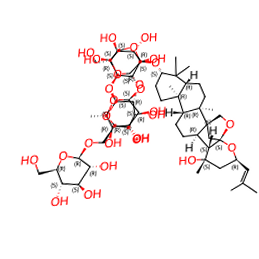 CC(C)=C[C@H]1C[C@](C)(O)[C@@H]2[C@H]3CC[C@@H]4[C@@]5(C)CC[C@H](O[C@@H]6OC[C@H](O)[C@H](O[C@@H]7O[C@H](CO[C@@H]8O[C@H](CO)[C@@H](O)[C@H](O)[C@H]8O)[C@@H](O)[C@H](O)[C@H]7O[C@@H]7O[C@H](CO)[C@@H](O)[C@H](O)[C@H]7O)[C@H]6O[C@@H]6O[C@@H](C)[C@H](O)[C@@H](O)[C@H]6O)C(C)(C)[C@@H]5CC[C@@]4(C)[C@@]34CO[C@@]2(C4)O1